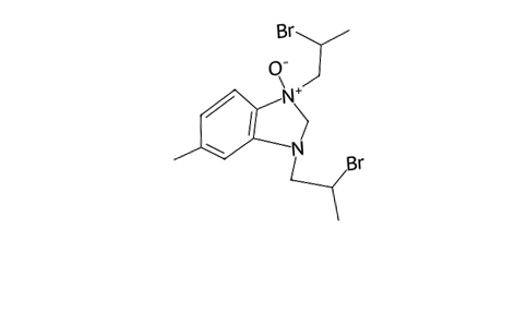 Cc1ccc2c(c1)N(CC(C)Br)C[N+]2([O-])CC(C)Br